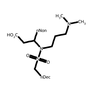 CCCCCCCCCCCS(=O)(=O)N(CCCN(C)C)C(CCCCCCCCC)CC(=O)O